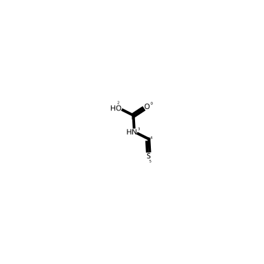 O=C(O)N[C]=S